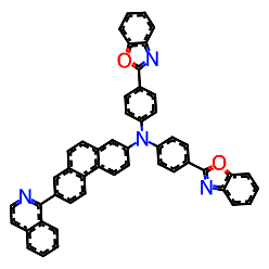 c1ccc2c(-c3ccc4c(ccc5cc(N(c6ccc(-c7nc8ccccc8o7)cc6)c6ccc(-c7nc8ccccc8o7)cc6)ccc54)c3)nccc2c1